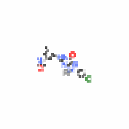 CCn1c(-c2ccc(Cl)cc2)nc2c(=O)[nH]c(CCc3cc(C)cc(-c4cocn4)c3)nc21